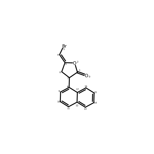 O=C1O/C(=C\Br)CC1c1cccc2ccccc12